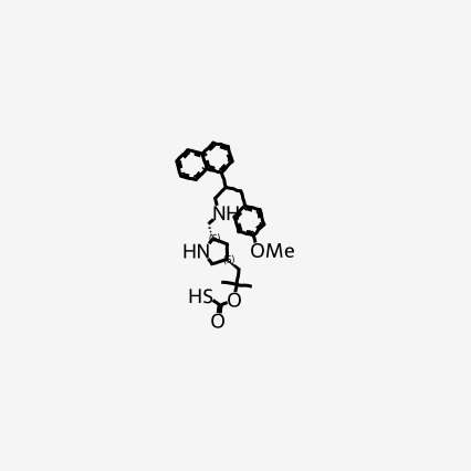 COc1ccc(CC(CNC[C@@H]2C[C@@H](CC(C)(C)OC(=O)S)CN2)c2cccc3ccccc23)cc1